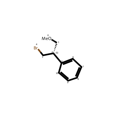 COC[C@@H](CBr)c1ccccc1